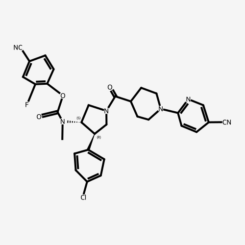 CN(C(=O)Oc1ccc(C#N)cc1F)[C@@H]1CN(C(=O)C2CCN(c3ccc(C#N)cn3)CC2)C[C@H]1c1ccc(Cl)cc1